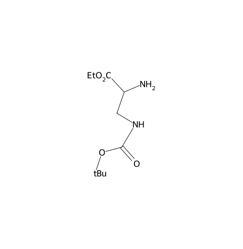 CCOC(=O)C(N)CNC(=O)OC(C)(C)C